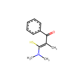 CC(C(=O)c1ccccc1)=C(S)N(C)C